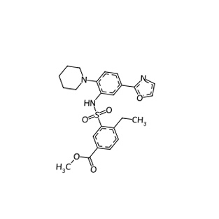 CCc1ccc(C(=O)OC)cc1S(=O)(=O)Nc1cc(-c2ncco2)ccc1N1CCCCC1